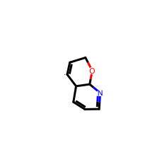 [C]1=CCOC2N=CC=CC12